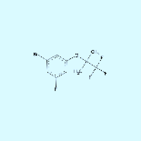 CC(C)(Oc1cc(F)cc(Br)c1)C(F)(F)F